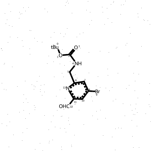 CC(C)(C)OC(=O)NCc1cc(Br)cc(C=O)n1